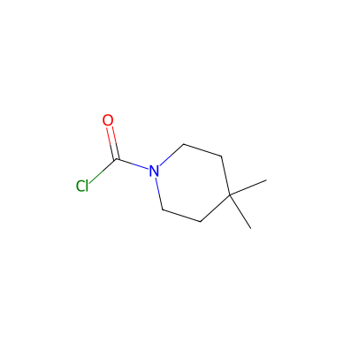 CC1(C)CCN(C(=O)Cl)CC1